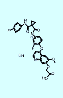 COc1cc2c(Oc3ccc(NC(=O)C4(C(=O)Nc5ccc(F)cc5)CC4)cc3F)ccnc2cc1OCC(=O)O.[LiH]